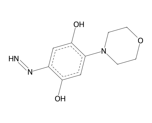 N=Nc1cc(O)c(N2CCOCC2)cc1O